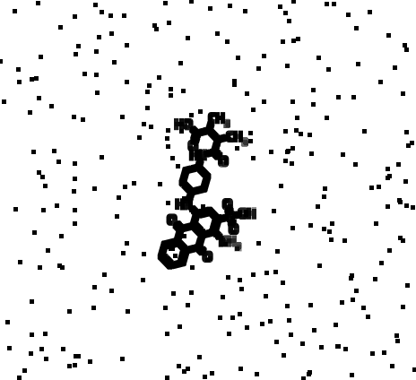 CC(C(=O)O)C(C)C(=O)NC1CCC(Nc2cc(S(=O)(=O)O)c(N)c3c2C(=O)c2ccccc2C3=O)CC1